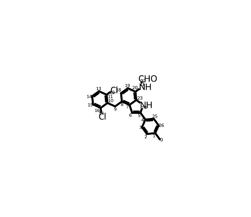 Cc1ccc(-c2cc3c(Cc4c(Cl)cccc4Cl)ccc(NC=O)c3[nH]2)cc1